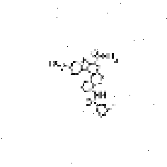 Cc1c(NC(=O)c2cccc(F)c2)cccc1-c1c(F)cc(C(N)=O)c2[nH]c3cc(C(C)(C)O)ccc3c12